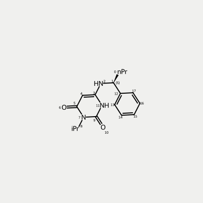 CCC[C@H](Nc1cc(=O)n(C(C)C)c(=O)[nH]1)c1ccccc1